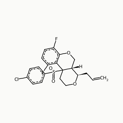 C=CC[C@H]1OCCC2(S(=O)(=O)c3ccc(Cl)cc3)c3c(F)ccc(F)c3OC[C@H]12